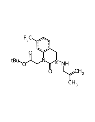 C=C(C)CN[C@H]1Cc2ccc(C(F)(F)F)cc2N(CC(=O)OC(C)(C)C)C1=O